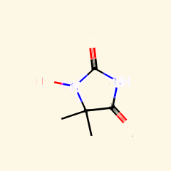 CC1(C)C(=O)NC(=O)N1O